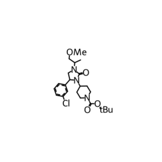 COCC(C)N1CC(c2cccc(Cl)c2)N(C2CCN(C(=O)OC(C)(C)C)CC2)C1=O